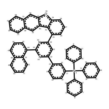 c1ccc([Si](c2ccccc2)(c2ccccc2)c2cccc(-c3cc(-c4cccc5oc6cc7ccccc7cc6c45)nc(-c4cccc5ccccc45)n3)c2)cc1